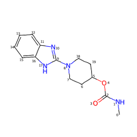 CNC(=O)OC1CCN(c2nc3ccccc3[nH]2)CC1